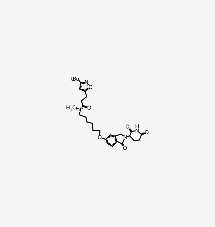 C=[N+](CCCCCCOc1ccc2c(c1)CN(C1CCC(=O)NC1=O)C2=O)C(=O)CCc1cc(C(C)(C)C)no1